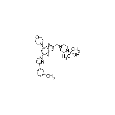 Cc1cccc(-c2ccn(-c3cc(N4CCOCC4)n4nc(CN5CCN(C(C)(C)O)CC5)cc4n3)n2)c1